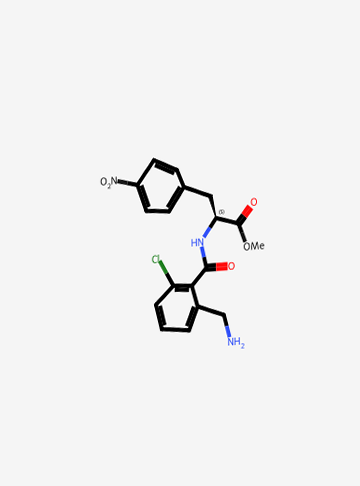 COC(=O)[C@H](Cc1ccc([N+](=O)[O-])cc1)NC(=O)c1c(Cl)cccc1CN